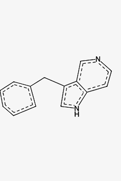 c1ccc(Cc2c[nH]c3ccncc23)cc1